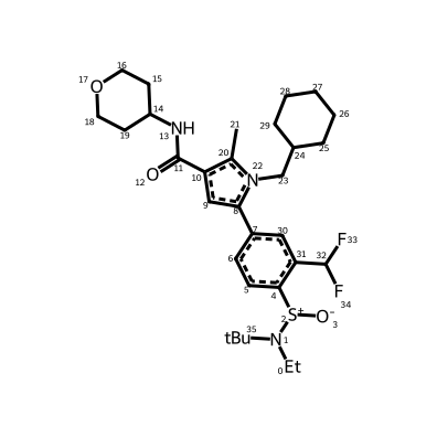 CCN([S+]([O-])c1ccc(-c2cc(C(=O)NC3CCOCC3)c(C)n2CC2CCCCC2)cc1C(F)F)C(C)(C)C